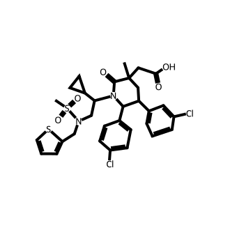 CC1(CC(=O)O)CC(c2cccc(Cl)c2)C(c2ccc(Cl)cc2)N(C(CN(Cc2cccs2)S(C)(=O)=O)C2CC2)C1=O